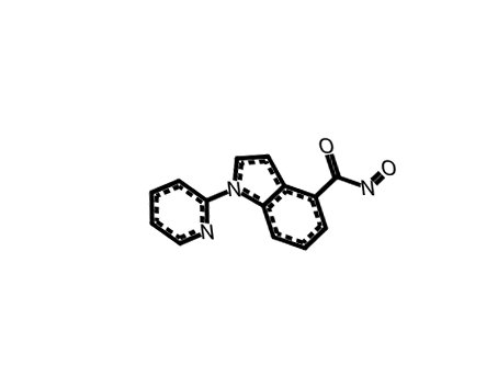 O=NC(=O)c1cccc2c1ccn2-c1ccccn1